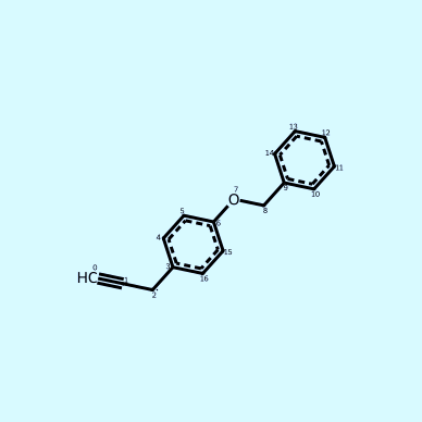 C#C[CH]c1ccc(OCc2ccccc2)cc1